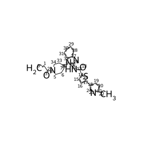 C=CC(=O)N1CCC[C@@H](n2c(NC(=O)c3ccc(-c4ccc(C)nc4)s3)nc3ccccc32)CC1